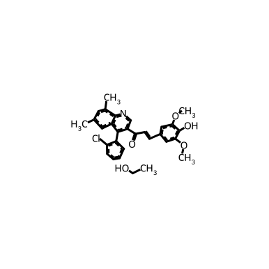 CCO.COc1cc(/C=C/C(=O)c2cnc3c(C)cc(C)cc3c2-c2ccccc2Cl)cc(OC)c1O